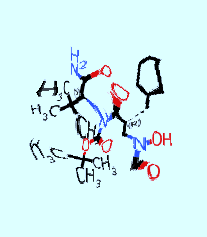 CC(C)(C)OC(=O)N(C(=O)[C@H](CC1CCCC1)CN(O)C=O)[C@H](C(N)=O)C(C)(C)C